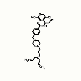 C=CCN(CC=C)CCCN1CCN(Cc2ccc(C(=O)NN(CC(C)C)c3nc(C#N)ncc3Cl)cc2)CC1